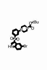 CC(C)(C)OC(=O)N1CCN(c2cccc(S(=O)(=O)c3c[nH]c4ccc(Br)cc34)c2)CC1